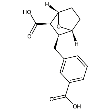 O=C(O)c1cccc(C[C@H]2[C@@H](C(=O)O)[C@@H]3CC[C@H]2O3)c1